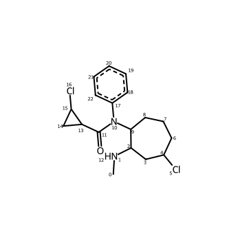 CNC1CC(Cl)CCCC1N(C(=O)C1CC1Cl)c1ccccc1